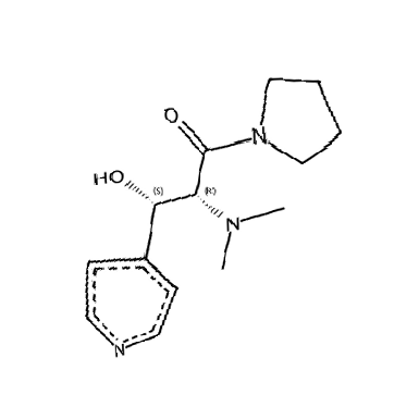 CN(C)[C@@H](C(=O)N1CCCC1)[C@@H](O)c1ccncc1